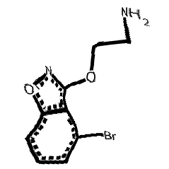 NCCOc1noc2cccc(Br)c12